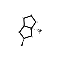 C[C@H]1CC2CCC[C@@]2(O)C1